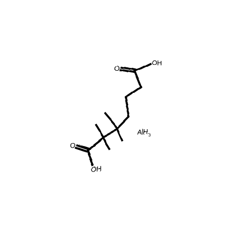 CC(C)(CCCC(=O)O)C(C)(C)C(=O)O.[AlH3]